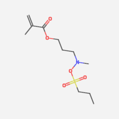 C=C(C)C(=O)OCCCN(C)OS(=O)(=O)CCC